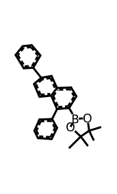 CC1(C)OB(c2ccc3cc(-c4ccccc4)ccc3c2-c2ccccc2)OC1(C)C